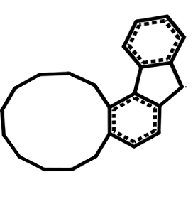 [CH]1c2ccccc2-c2c1ccc1c2CCCCCCCCCC1